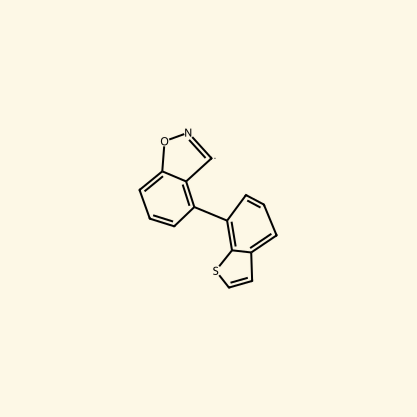 [c]1noc2cccc(-c3cccc4ccsc34)c12